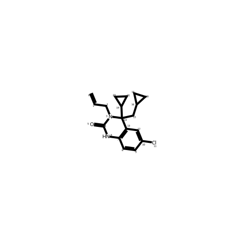 C=CCN1C(=O)Nc2ccc(Cl)cc2C1(CC1CC1)C1CC1